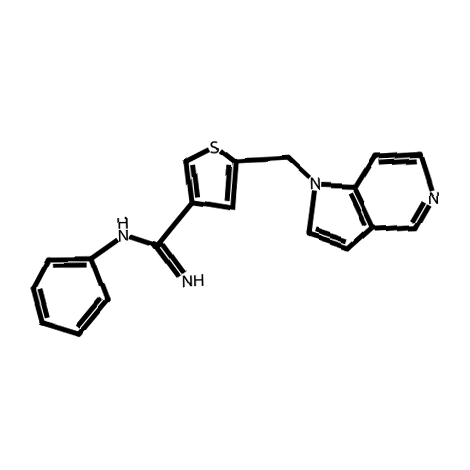 N=C(Nc1ccccc1)c1csc(Cn2ccc3cnccc32)c1